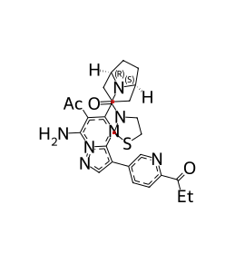 CCC(=O)c1ccc(-c2cnn3c(N)c(C(C)=O)c(C4C[C@H]5CC[C@@H](C4)N5C(=O)N4CCSC4)nc23)cn1